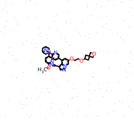 COc1ccc(CN2C3CC2CN(c2ccc(-c4cc(OCCOC5CC6(COC6)C5)cn5ncc(C#N)c45)cn2)C3)cn1